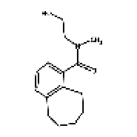 CN(CCO)C(=O)c1cccc2c1CCCCC2